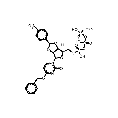 CCCCCCP(=O)(O)OP(=O)(O)OP(=O)(O)OC[C@H]1O[C@@H](n2ccc(OCc3ccccc3)nc2=O)C2OC(c3ccc([N+](=O)[O-])cc3)O[C@H]21